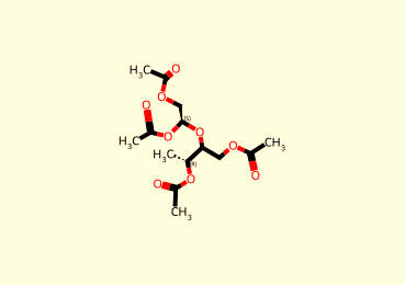 CC(=O)OCC(O[C@H](COC(C)=O)OC(C)=O)[C@@H](C)OC(C)=O